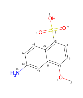 COc1ccc(S(=O)(=O)O)c2ccc(N)cc12